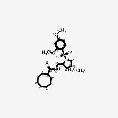 COc1ccc(S(=O)(=O)N2CCCC2CNC(=O)[C]2CCCCCCC2)c(OC)c1.[CH2].[CH2]